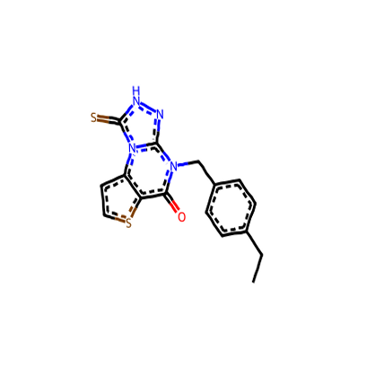 CCc1ccc(Cn2c(=O)c3sccc3n3c(=S)[nH]nc23)cc1